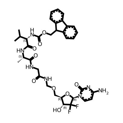 CC(C)[C@H](NC(=O)OCC1c2ccccc2-c2ccccc21)C(=O)N[C@@H](C)C(=O)NCC(=O)NCOC[C@H]1O[C@@H](n2ccc(N)nc2=O)C(F)(F)[C@@H]1O